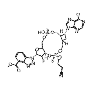 COC(=O)c1cccc2c1nnn2[C@@H]1OC2COP(O)(=S)OC[C@@H]3[C@@H](COP(=S)(OCCC#N)O[C@H]2[C@H]1F)C[C@H]3n1cnc2c(Cl)ncnc21